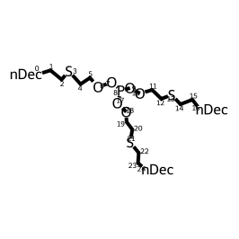 CCCCCCCCCCCCSCCOOP(OOCCSCCCCCCCCCCCC)OOCCSCCCCCCCCCCCC